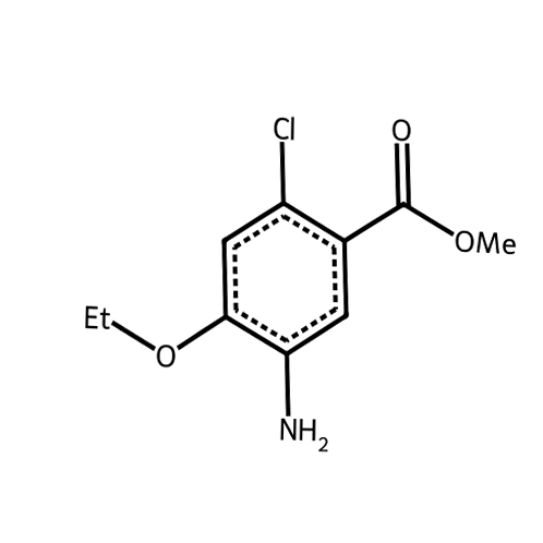 CCOc1cc(Cl)c(C(=O)OC)cc1N